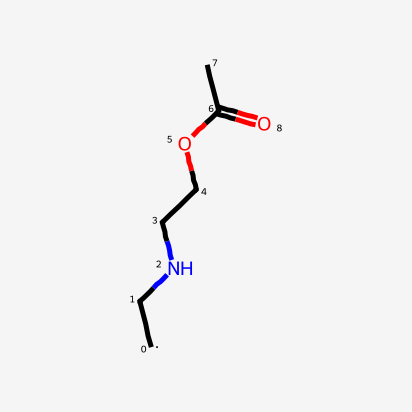 [CH2]CNCCOC(C)=O